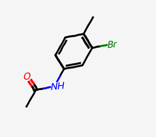 CC(=O)Nc1ccc(C)c(Br)c1